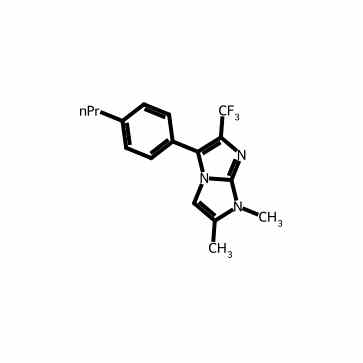 CCCc1ccc(-c2c(C(F)(F)F)nc3n(C)c(C)cn23)cc1